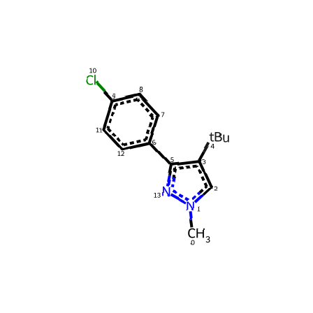 Cn1cc(C(C)(C)C)c(-c2ccc(Cl)cc2)n1